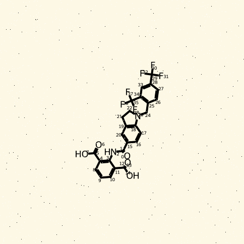 O=C(Nc1c(C(=O)O)cccc1C(=O)O)c1ccc2c(c1)CCN2Cc1ccc(C(F)(F)F)cc1C(F)(F)F